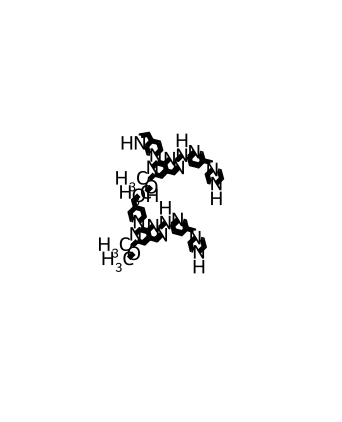 COC(C)c1cc2cnc(Nc3ccc(CN4CCNCC4)cn3)nc2c(N2CCC(CO)CC2)n1.COC(C)c1cc2cnc(Nc3ccc(CN4CCNCC4)cn3)nc2c(N2CCC3CCNC3C2)n1